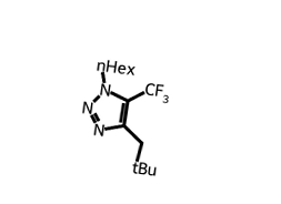 CCCCCCn1nnc(CC(C)(C)C)c1C(F)(F)F